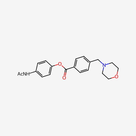 CC(=O)Nc1ccc(OC(=O)c2ccc(CN3CCOCC3)cc2)cc1